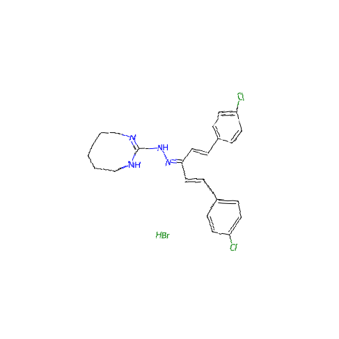 Br.Clc1ccc(C=CC(C=Cc2ccc(Cl)cc2)=NN/C2=N/CCCCCN2)cc1